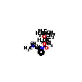 C=C(OCC(C)(C)COC(=O)n1cc(CCN(C)C)c2ccccc21)C(C)(C)C